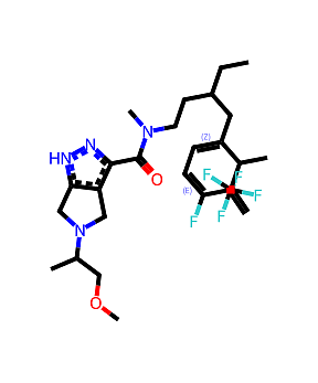 C=C(F)/C(F)=C\C=C(\CC(CC)CCN(C)C(=O)c1n[nH]c2c1CN(C(C)COC)C2)C(C)C(F)(F)F